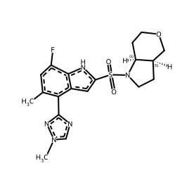 Cc1cc(F)c2[nH]c(S(=O)(=O)N3CC[C@@H]4COCC[C@@H]43)cc2c1-c1ncn(C)n1